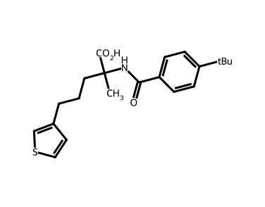 CC(CCCc1ccsc1)(NC(=O)c1ccc(C(C)(C)C)cc1)C(=O)O